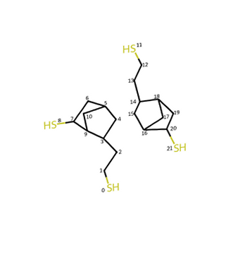 SCCC1CC2CC(S)C1C2.SCCC1CC2CC1CC2S